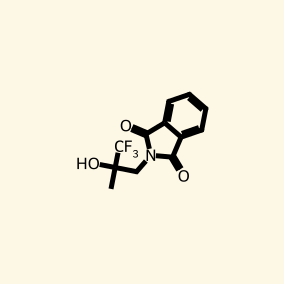 CC(O)(CN1C(=O)c2ccccc2C1=O)C(F)(F)F